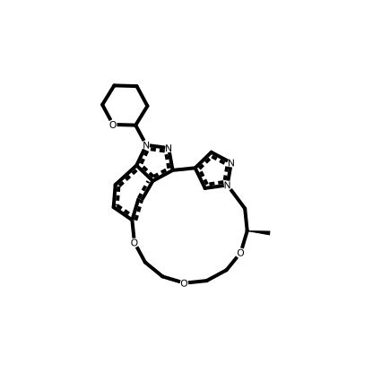 C[C@@H]1Cn2cc(cn2)-c2nn(C3CCCCO3)c3ccc(cc23)OCCOCCO1